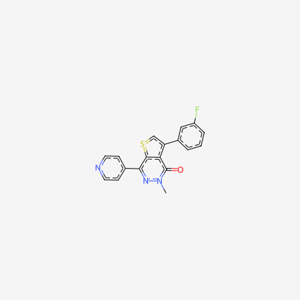 Cn1nc(-c2ccncc2)c2scc(-c3cccc(F)c3)c2c1=O